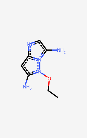 CCOn1c(N)cc2ncc(N)n21